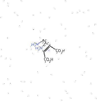 CC(N)=O.CC(N)=O.O=C(O)/C=C\C(=O)O